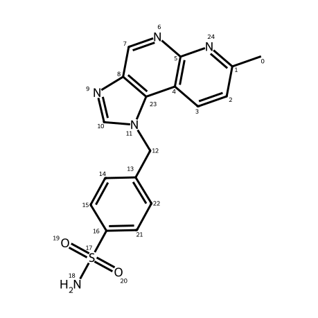 Cc1ccc2c(ncc3ncn(Cc4ccc(S(N)(=O)=O)cc4)c32)n1